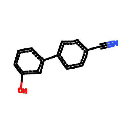 N#Cc1ccc(-c2cccc(O)c2)cc1